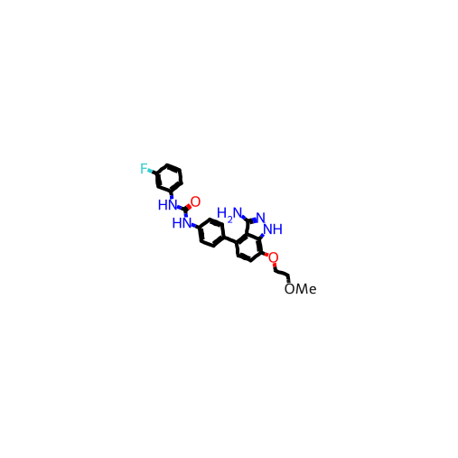 COCCOc1ccc(-c2ccc(NC(=O)Nc3cccc(F)c3)cc2)c2c(N)n[nH]c12